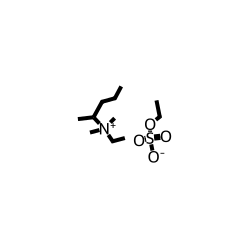 CCCC(C)[N+](C)(C)CC.CCOS(=O)(=O)[O-]